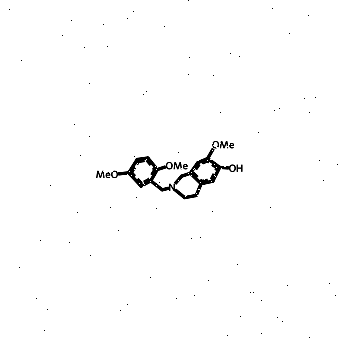 COc1ccc(OC)c(CN2CCc3cc(O)c(OC)cc3C2)c1